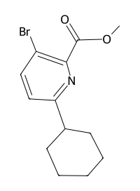 COC(=O)c1nc(C2CCCCC2)ccc1Br